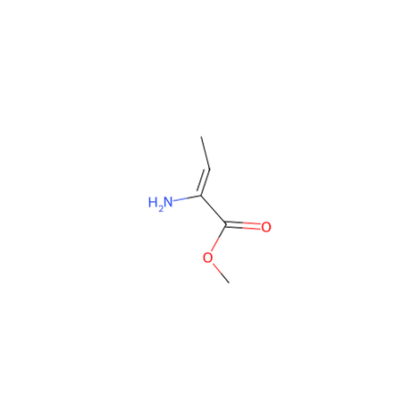 CC=C(N)C(=O)OC